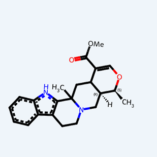 COC(=O)C1=CO[C@@H](C)[C@H]2CN3CCc4c([nH]c5ccccc45)C3(C)CC12